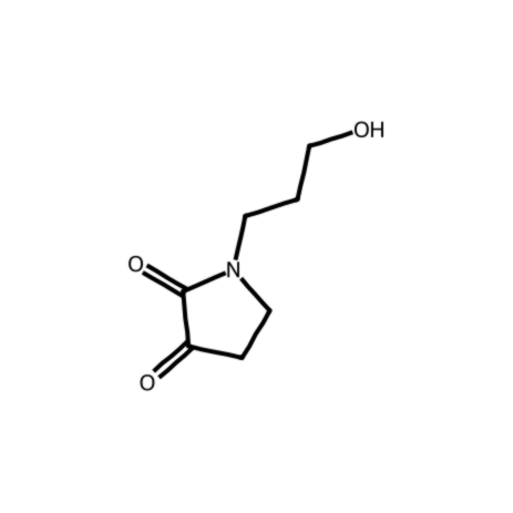 O=C1CCN(CCCO)C1=O